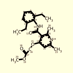 CCc1cccc(CC)c1NC(=O)c1c(OCC(=O)OC)cc(C)nc1C